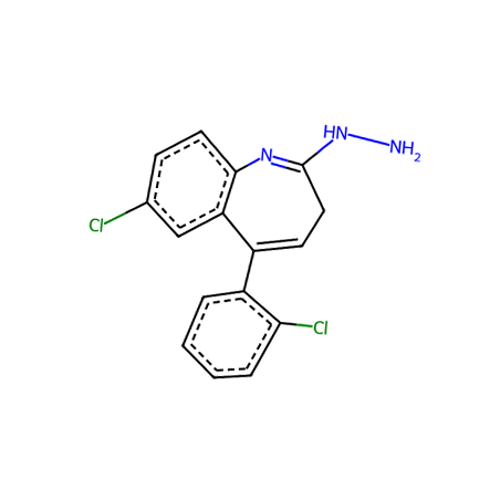 NNC1=Nc2ccc(Cl)cc2C(c2ccccc2Cl)=CC1